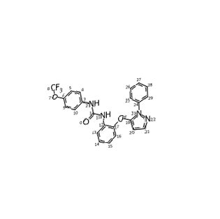 O=C(Nc1ccc(OC(F)(F)F)cc1)Nc1ccccc1Oc1ccnn1-c1ccccc1